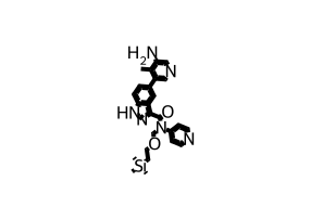 Cc1c(N)cncc1-c1ccc2[nH]nc(C(=O)N(COCC[Si](C)(C)C)c3ccncc3)c2c1